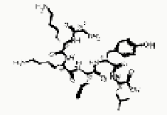 C=CC[C@H](NC(=O)[C@@H](CCCCN)NC(=O)[C@H](CCCCN)NC(=O)[C@H](C)N)C(=O)N[C@@H](Cc1ccc(O)cc1)C(=O)N[C@@H](CC(C)C)C(=O)O